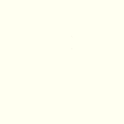 c1ccc(Cc2ccc(C34CNCC3C4)cc2)cc1